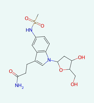 CS(=O)(=O)Nc1ccc2c(c1)c(CCC(N)=O)cn2C1CC(O)C(CO)O1